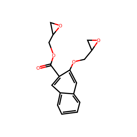 O=C(OCC1CO1)c1cc2ccccc2cc1OCC1CO1